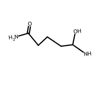 NC(=O)CCCC(N)O